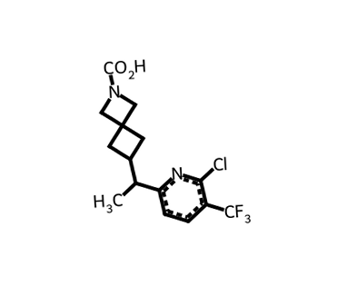 CC(c1ccc(C(F)(F)F)c(Cl)n1)C1CC2(C1)CN(C(=O)O)C2